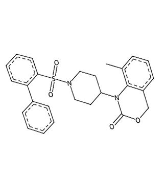 Cc1cccc2c1N(C1CCN(S(=O)(=O)c3ccccc3-c3ccccc3)CC1)C(=O)OC2